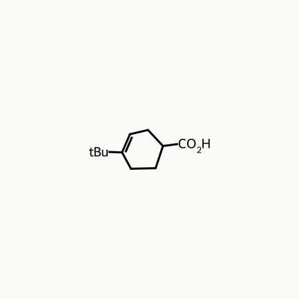 CC(C)(C)C1=CCC(C(=O)O)CC1